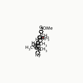 C=C(C)[C@@H]1CC[C@]2(N(C)c3ccnc(F)c3)CC[C@]3(C)[C@H](CC[C@@H]4[C@@]5(C)CC=C(c6ccc(C(=O)OC)cc6)C(C)(C)[C@@H]5CC[C@]43C)[C@@H]12